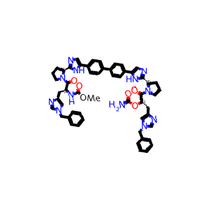 COC(=O)N[C@@H](Cc1cn(Cc2ccccc2)cn1)C(=O)N1CCC[C@H]1c1ncc(-c2ccc(-c3ccc(-c4cnc([C@@H]5CCCN5C(=O)[C@H](Cc5cn(Cc6ccccc6)cn5)OC(N)=O)[nH]4)cc3)cc2)[nH]1